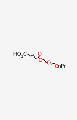 CCCOCCOCCOC(=O)CCCCC(=O)O